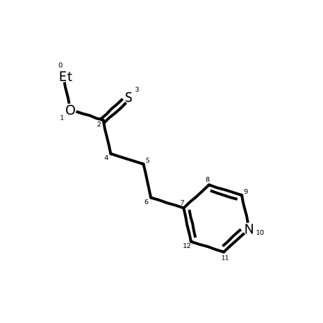 CCOC(=S)CCCc1ccncc1